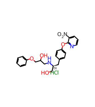 Cl.O=[N+]([O-])c1cccnc1Oc1ccc(C[C@@H](CO)NCC(O)COc2ccccc2)cc1